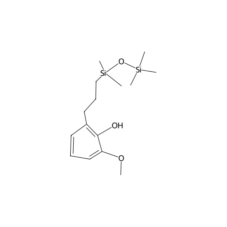 COc1cccc(CCC[Si](C)(C)O[Si](C)(C)C)c1O